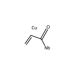 C=C[C](=O)[Nb].[Cu]